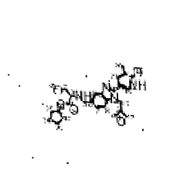 COCC(NCc1ccc2c(c1)nc(-c1c[nH]c(=O)c(C)c1)n2CC1COC1)C(=O)OC1CCCC1